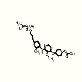 COc1c(Nc2ccc(CCCOP(=O)(O)OC(C)C)nc2C)ncnc1OC1CCN(OC(=O)O)CC1